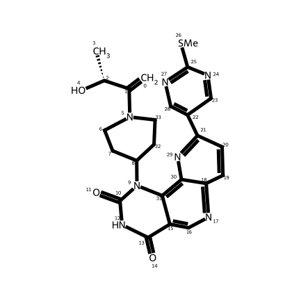 C=C([C@@H](C)O)N1CCC(n2c(=O)[nH]c(=O)c3cnc4ccc(-c5cnc(SC)nc5)nc4c32)CC1